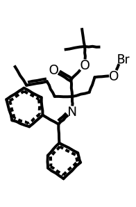 C/C=C/CC(CCOBr)(N=C(c1ccccc1)c1ccccc1)C(=O)OC(C)(C)C